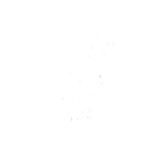 CC(C)c1cc2c(c(-c3ccccc3)c1C(=O)c1ccc(OC(F)(F)F)cc1)C(=O)CC(C)(C)O2